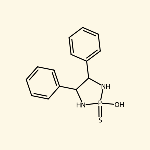 OP1(=S)NC(c2ccccc2)C(c2ccccc2)N1